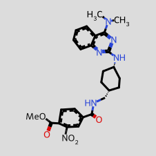 COC(=O)c1ccc(C(=O)NC[C@H]2CC[C@@H](Nc3nc(N(C)C)c4ccccc4n3)CC2)cc1[N+](=O)[O-]